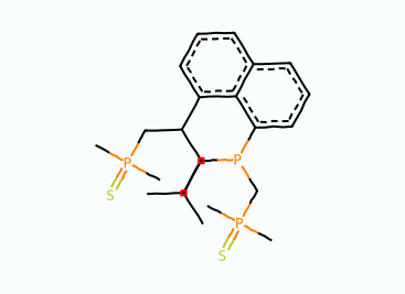 CCCC(CP(C)(C)=S)c1cccc2cccc(P(CCC)CP(C)(C)=S)c12